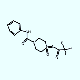 O=C(Nc1ccccc1)N1CCS(=O)(=NC(=O)C(F)(F)F)CC1